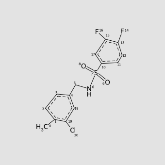 Cc1ccc(CNS(=O)(=O)c2ccc(F)c(F)c2)cc1Cl